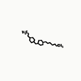 CCCCCCCC1CCC(CC2CCC(CCC)CC2)CC1